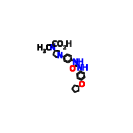 CN(C(=O)O)C1CCN(c2ccc(NC(=O)Nc3ccc(OC4CCCC4)cc3)cc2)C1